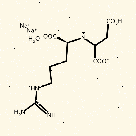 N=C(N)NCCC[C@H](NC(CC(=O)O)C(=O)[O-])C(=O)[O-].O.[Na+].[Na+]